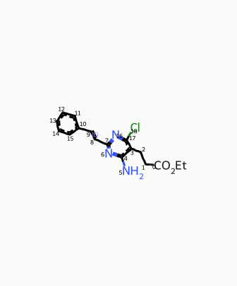 CCOC(=O)CCc1c(N)nc(/C=C/c2ccccc2)nc1Cl